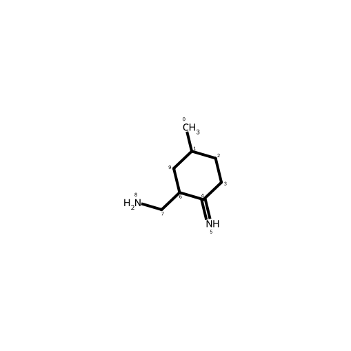 CC1CCC(=N)C(CN)C1